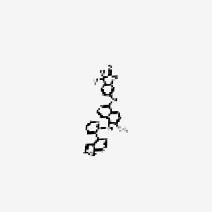 Cc1ccc2c(Nc3ccc4c(c3)NC(=O)C4(C)C)nccc2c1Nc1ncccc1-c1ncnc2[nH]ccc12